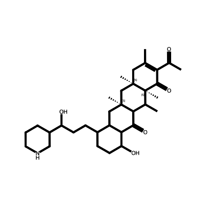 CC(=O)C1=C(C)C[C@]2(C)C[C@]3(C)CC4C(CCC(O)C5CCCNC5)CCC(O)C4C(=O)C3C(C)[C@]2(C)C1=O